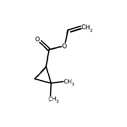 C=COC(=O)C1CC1(C)C